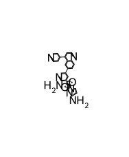 Nc1ccn(S(=O)(=O)c2cc(-c3ccc4nccc(-c5ccncc5)c4c3)cnc2N)n1